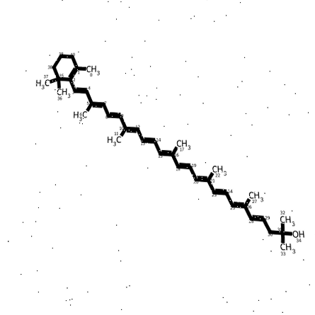 CC1=C(/C=C/C(C)=C/C=C/C(C)=C/C=C/C=C(C)/C=C/C=C(C)/C=C/C=C(C)/C=C/CC(C)(C)O)C(C)(C)CCC1